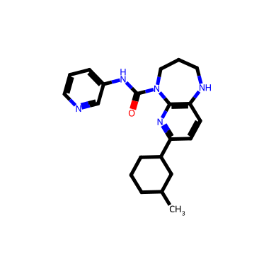 CC1CCCC(c2ccc3c(n2)N(C(=O)Nc2cccnc2)CCCN3)C1